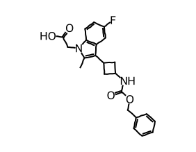 Cc1c(C2CC(NC(=O)OCc3ccccc3)C2)c2cc(F)ccc2n1CC(=O)O